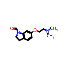 CN(C)CCOc1ccc2c(c1)N(C=O)CC2